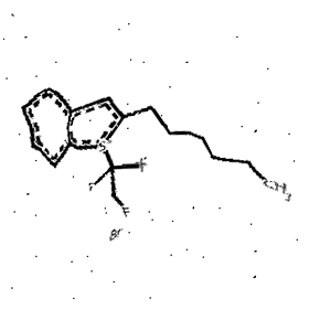 CCCCCCc1cc2ccccc2[s+]1C(F)(F)F.[Br-]